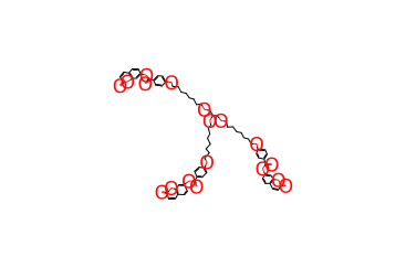 O=C(Oc1ccc2ccc(=O)oc2c1)c1ccc(OCCCCCCCCOCC(COCCCCCCCCOc2ccc(C(=O)Oc3ccc4ccc(=O)oc4c3)cc2)OCCCCCCCCOc2ccc(C(=O)Oc3ccc4ccc(=O)oc4c3)cc2)cc1